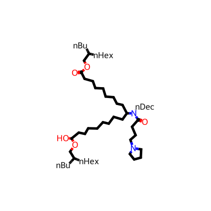 CCCCCCCCCCN(C(=O)CCCN1CCCC1)C(CCCCCCCCC(=O)OCC(CCCC)CCCCCC)CCCCCCCCC(O)OCC(CCCC)CCCCCC